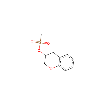 CS(=O)(=O)OC1COc2ccccc2C1